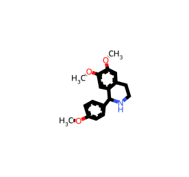 COc1ccc(C2NCCc3cc(OC)c(OC)cc32)cc1